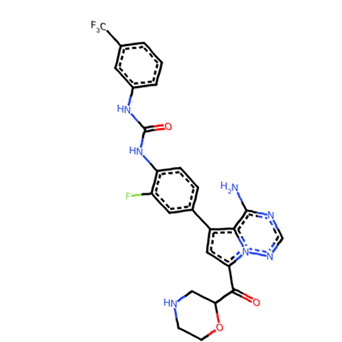 Nc1ncnn2c(C(=O)C3CNCCO3)cc(-c3ccc(NC(=O)Nc4cccc(C(F)(F)F)c4)c(F)c3)c12